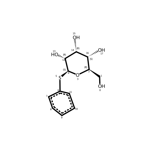 OC[C@H]1O[C@@H](Sc2ccccc2)[C@H](O)[C@H](O)[C@@H]1O